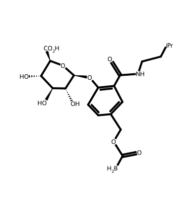 BC(=O)OCc1ccc(O[C@@H]2O[C@H](C(=O)O)[C@@H](O)[C@H](O)[C@H]2O)c(C(=O)NCCC(C)C)c1